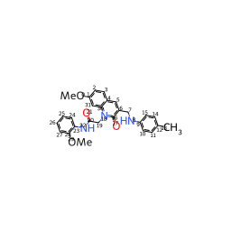 COc1ccc2cc(CNc3ccc(C)cc3)c(=O)n(CC(=O)Nc3ccccc3OC)c2c1